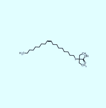 CCCCCCCC/C=C\CCCCCCCCSC(CC)(CC)C(=O)O